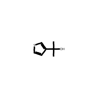 CC(C)(O)c1[c]scc1